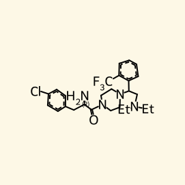 CCN(CC)CC(c1ccccc1C(F)(F)F)N1CCN(C(=O)[C@H](N)Cc2ccc(Cl)cc2)CC1